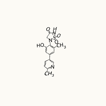 Cc1ccc(-c2cc(C)c(N3CC(=O)NS3(=O)=O)c(O)c2)cn1